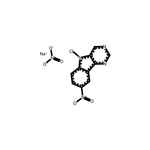 O=[N+]([O-])[O-].O=[N+]([O-])c1ccc2c(c1)c1ncncc1n2Cl.[Na+]